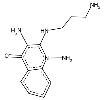 NCCCNc1c(N)c(=O)c2ccccc2n1N